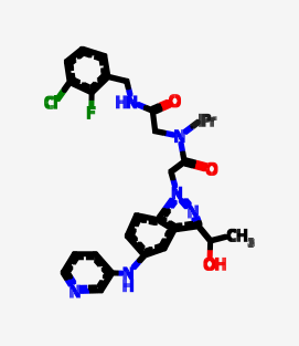 CC(O)c1nn(CC(=O)N(CC(=O)NCc2cccc(Cl)c2F)C(C)C)c2ccc(Nc3cccnc3)cc12